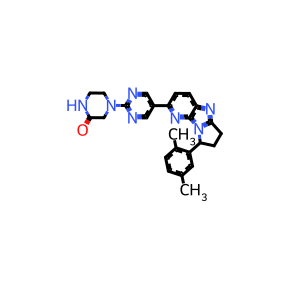 Cc1ccc(C)c(C2CCc3nc4ccc(-c5cnc(N6CCNC(=O)C6)nc5)nc4n32)c1